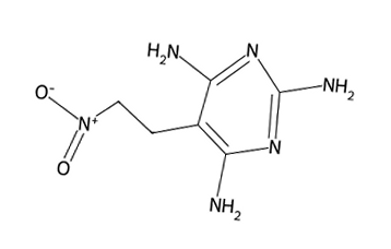 Nc1nc(N)c(CC[N+](=O)[O-])c(N)n1